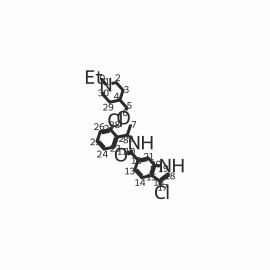 CCN1CCC(COCC(NC(=O)c2ccc3c(Cl)c[nH]c3c2)c2ccccc2Cl)CC1